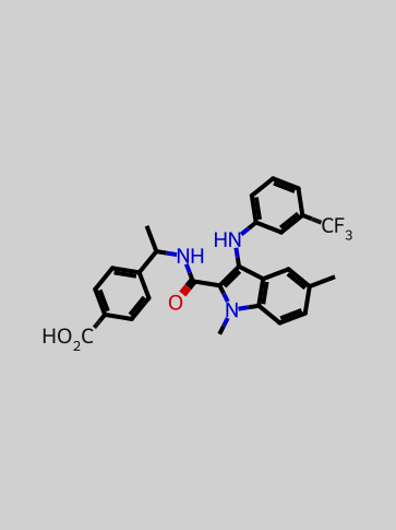 Cc1ccc2c(c1)c(Nc1cccc(C(F)(F)F)c1)c(C(=O)NC(C)c1ccc(C(=O)O)cc1)n2C